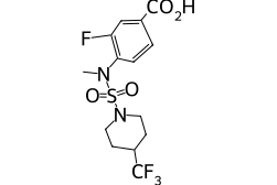 CN(c1ccc(C(=O)O)cc1F)S(=O)(=O)N1CCC(C(F)(F)F)CC1